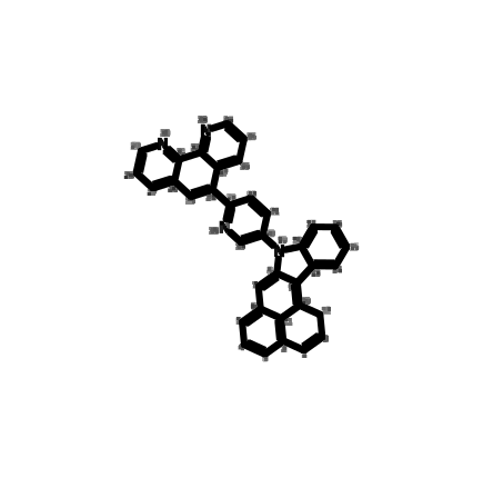 C1=Cc2cccc3cc4c(c(c23)C1)c1ccccc1n4-c1ccc(-c2cc3cccnc3c3ncccc23)nc1